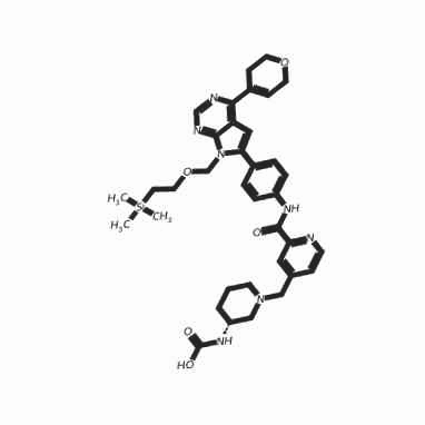 C[Si](C)(C)CCOCn1c(-c2ccc(NC(=O)c3cc(CN4CCC[C@@H](NC(=O)O)C4)ccn3)cc2)cc2c(C3=CCOCC3)ncnc21